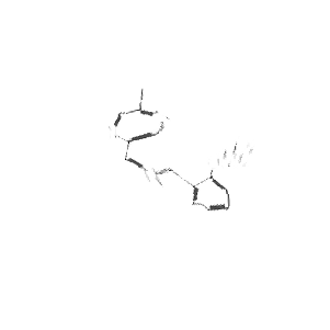 COc1ccccc1C/N=C\c1cnc(C)cn1